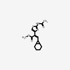 COC(=O)/C(=C\C1C2CCCCC12)c1csc(NC(C)=O)n1